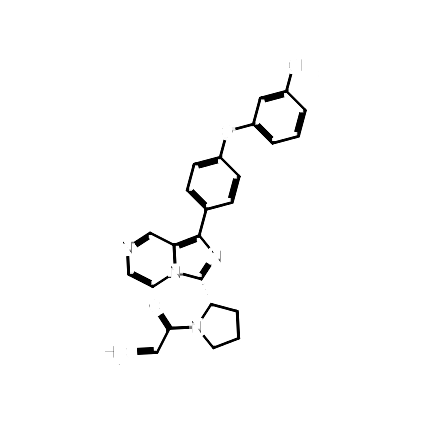 C=CC(=O)N1CCC[C@H]1c1nc(-c2ccc(Oc3cccc(C)c3)cc2)c2cnccn12